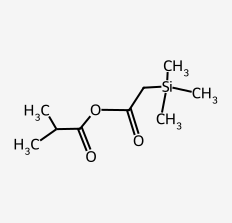 CC(C)C(=O)OC(=O)C[Si](C)(C)C